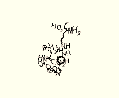 CC(C)CC(NC(=O)OC(C)(C)C)C(=O)O.N=C(N)NCCCC(N)C(=O)O.c1ccc(-c2cnco2)cc1